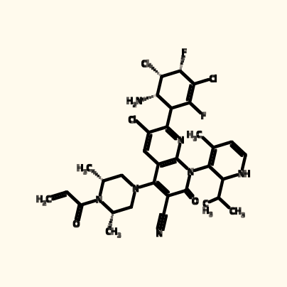 C=CC(=O)N1[C@H](C)CN(c2c(C#N)c(=O)n(C3=C(C)C=CNC3C(C)C)c3nc(C4C(F)=C(Cl)[C@@H](F)[C@@H](Cl)[C@H]4N)c(Cl)cc23)C[C@@H]1C